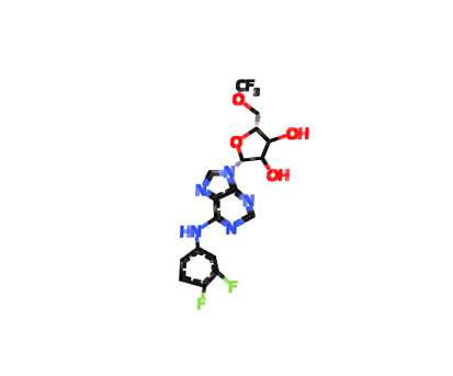 OC1C(O)[C@@H](COC(F)(F)F)O[C@H]1n1cnc2c(Nc3ccc(F)c(F)c3)ncnc21